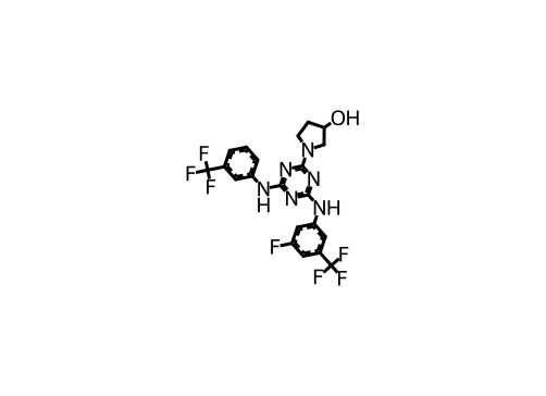 OC1CCN(c2nc(Nc3cccc(C(F)(F)F)c3)nc(Nc3cc(F)cc(C(F)(F)F)c3)n2)C1